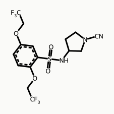 N#CN1CCC(NS(=O)(=O)c2cc(OCC(F)(F)F)ccc2OCC(F)(F)F)C1